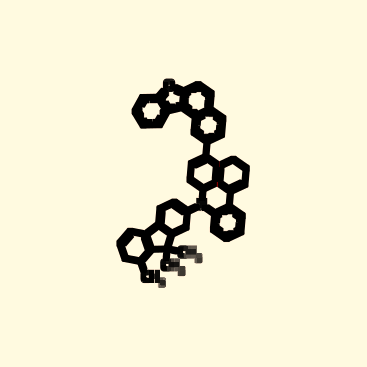 CC1CC=CC2=C1C(C)(C)C1CC(N(c3ccccc3C3=CCCC=C3)C3C=CC(c4ccc5ccc6oc7ccccc7c6c5c4)=CC3)=CC=C21